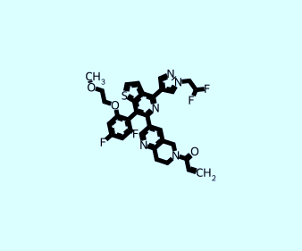 C=CC(=O)N1CCc2ncc(-c3nc(-c4cnn(CC(F)F)c4)c4ccsc4c3-c3c(F)cc(F)cc3OCCOC)cc2C1